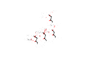 CCCCOC(C)(CC(=O)CC(=O)[O-])OCCCC.CCCCOC(C)(CC(=O)CC(=O)[O-])OCCCC.CCCCOC(C)(CC(=O)CC(=O)[O-])OCCCC.CCCCOC(C)(CC(=O)CC(=O)[O-])OCCCC.[Ti+4]